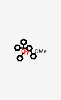 COc1ccccc1-c1cccc(C(O)(c2ccccc2)c2ccccc2)c1OCc1ccccc1